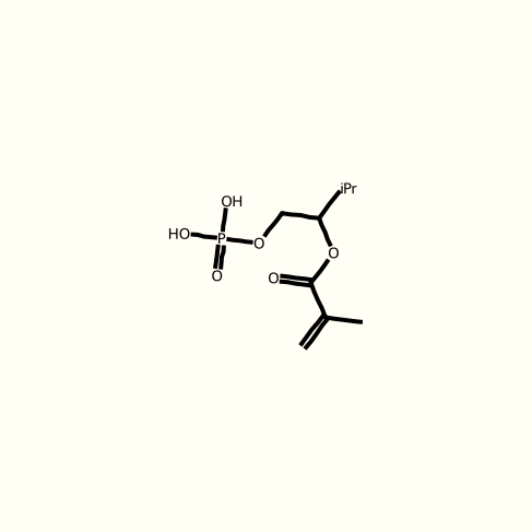 C=C(C)C(=O)OC(COP(=O)(O)O)C(C)C